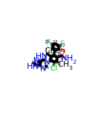 Cc1c(Cl)cc(C(C)Nc2ncnc3[nH]cnc23)c(-c2cc(F)cc(F)c2)c1C(N)=O